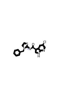 O=C(/N=c1\sccn1Cc1ccccc1)c1c[nH]c2ncc(Cl)cc12